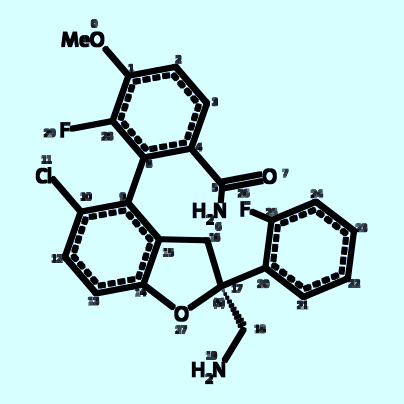 COc1ccc(C(N)=O)c(-c2c(Cl)ccc3c2C[C@@](CN)(c2ccccc2F)O3)c1F